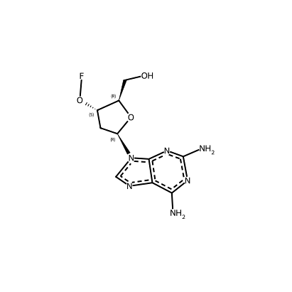 Nc1nc(N)c2ncn([C@H]3C[C@H](OF)[C@@H](CO)O3)c2n1